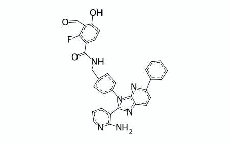 Nc1ncccc1-c1nc2ccc(-c3ccccc3)nc2n1-c1ccc(CNC(=O)c2ccc(O)c(C=O)c2F)cc1